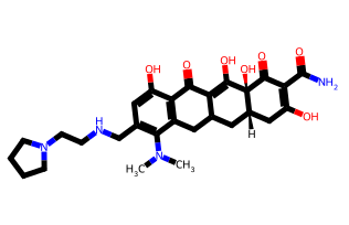 CN(C)c1c(CNCCN2CCCC2)cc(O)c2c1CC1C[C@H]3CC(O)=C(C(N)=O)C(=O)[C@@]3(O)C(O)=C1C2=O